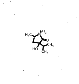 CC1CC(O)(C(C)C)C(=O)N1C